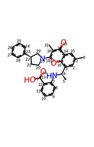 Cc1cc([C@@H](C)Nc2ccccc2C(=O)O)c2oc(N3CC[C@@H](c4ccccc4)C3)c(C)c(=O)c2c1